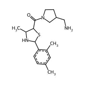 Cc1ccc(C2NC(C)C(C(=O)N3CCC(CN)C3)S2)c(C)c1